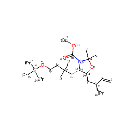 C=C[C@H](C[C@@H]1OC(C)(C)N(C(=O)OC(C)(C)C)[C@H]1CC(C)(C)CCO[Si](C(C)C)(C(C)C)C(C)C)C(C)C